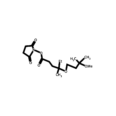 CCC(C)(CCC(=O)ON1C(=O)CCC1=O)OCCC(C)(C)OC